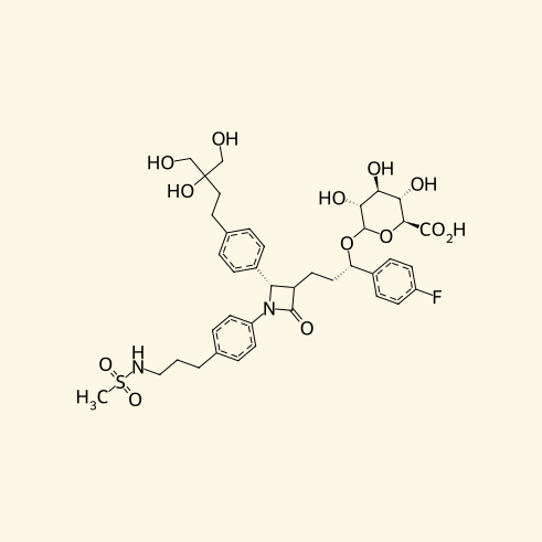 CS(=O)(=O)NCCCc1ccc(N2C(=O)C(CC[C@H](OC3O[C@H](C(=O)O)[C@@H](O)[C@H](O)[C@H]3O)c3ccc(F)cc3)[C@H]2c2ccc(CCC(O)(CO)CO)cc2)cc1